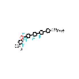 CCCCCc1ccc(-c2ccc(-c3ccc(-c4ccc(C(F)(F)Oc5ccc(C(F)(F)F)c(F)c5)c(F)c4)c(F)c3)c(F)c2)cc1